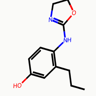 CCCc1cc(O)ccc1NC1=NCCO1